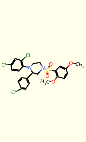 COc1ccc(OC)c(S(=O)(=O)N2CCN(c3ccc(Cl)cc3Cl)C(c3ccc(Cl)cc3)C2)c1